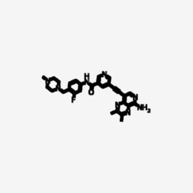 Cc1nc2c(C#Cc3cncc(C(=O)Nc4ccc(CN5CCN(C)CC5)c(F)c4)c3)cnc(N)c2nc1C